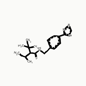 CC(C)C(C(=O)NCc1ccc(-c2nnc[nH]2)cc1)C(C)(C)C